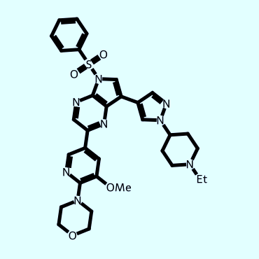 CCN1CCC(n2cc(-c3cn(S(=O)(=O)c4ccccc4)c4ncc(-c5cnc(N6CCOCC6)c(OC)c5)nc34)cn2)CC1